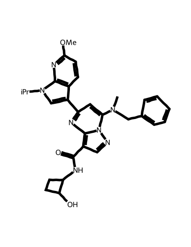 COc1ccc2c(-c3cc(N(C)Cc4ccccc4)n4ncc(C(=O)NC5CCC5O)c4n3)cn(C(C)C)c2n1